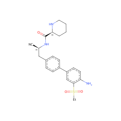 CCS(=O)(=O)c1cc(-c2ccc(C[C@@H](C#N)NC(=O)[C@@H]3CCCCN3)cc2)ccc1N